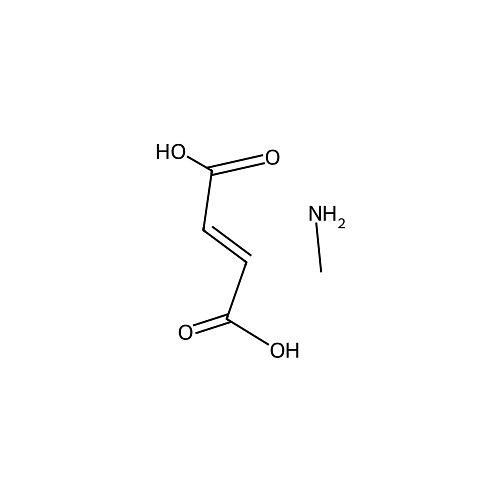 CN.O=C(O)C=CC(=O)O